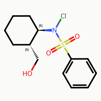 O=S(=O)(c1ccccc1)N(Cl)[C@@H]1CCCC[C@H]1CO